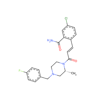 C[C@@H]1CN(Cc2ccc(F)cc2)CCN1C(=O)C=Cc1ccc(Cl)cc1C(N)=O